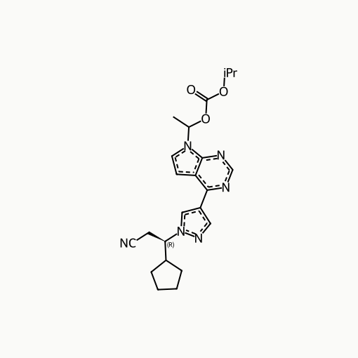 CC(C)OC(=O)OC(C)n1ccc2c(-c3cnn([C@H](CC#N)C4CCCC4)c3)ncnc21